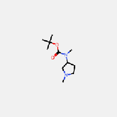 CN1CC[C@H](N(C)C(=O)OC(C)(C)C)C1